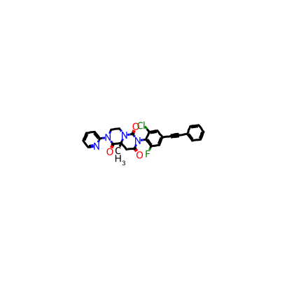 CC12CC(=O)N(c3c(F)cc(C#Cc4ccccc4)cc3Cl)C(=O)N1CCN(c1ccccn1)C2=O